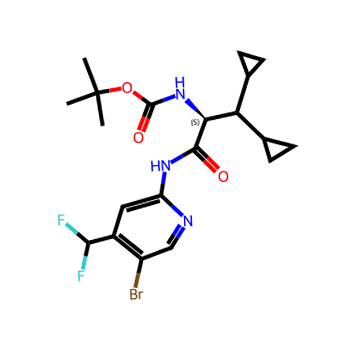 CC(C)(C)OC(=O)N[C@H](C(=O)Nc1cc(C(F)F)c(Br)cn1)C(C1CC1)C1CC1